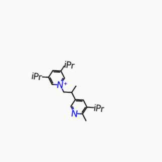 Cc1ncc(C(C)C[n+]2cc(C(C)C)cc(C(C)C)c2)cc1C(C)C